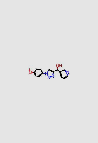 COc1ccc(-n2cc(C(O)c3cccnc3)nn2)cc1